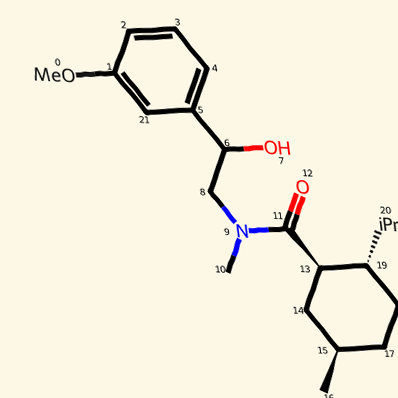 COc1cccc(C(O)CN(C)C(=O)[C@@H]2C[C@H](C)CC[C@H]2C(C)C)c1